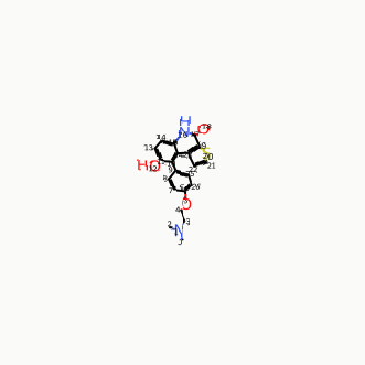 CN(C)CCOc1ccc(-c2c(O)ccc3[nH]c(=O)c4sccc4c23)cc1